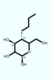 CCCC[C@@H]1C(CO)O[C@@H](O)C(O)[C@H]1O